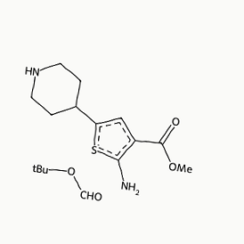 CC(C)(C)OC=O.COC(=O)c1cc(C2CCNCC2)sc1N